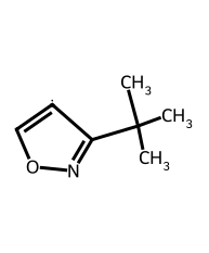 CC(C)(C)c1[c]con1